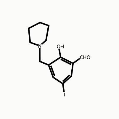 O=Cc1cc(I)cc(CN2CCCCC2)c1O